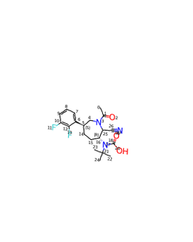 CC(=O)N1C[C@H](c2cccc(F)c2F)CC[C@@H](N(C(=O)O)C(C)(C)C)C1C#N